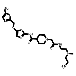 CN(CCN)CCNC(=O)CN1CCC(C(=O)Nc2ncc(SCc3ncc(C(C)(C)C)o3)s2)CC1